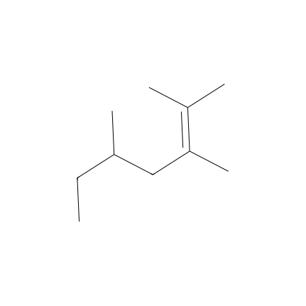 CCC(C)CC(C)=C(C)C